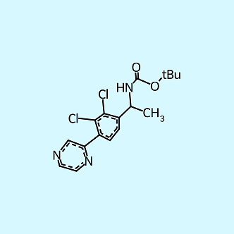 CC(NC(=O)OC(C)(C)C)c1ccc(-c2cnccn2)c(Cl)c1Cl